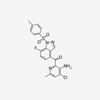 Cc1ccc(S(=O)(=O)n2ncc3c(C(=O)c4nc(C)cc(Cl)c4N)ccc(F)c32)cc1